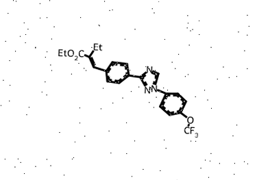 CCOC(=O)/C(=C/c1ccc(-c2ncn(-c3ccc(OC(F)(F)F)cc3)n2)cc1)CC